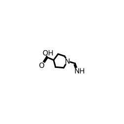 N=CN1CCC(C(=O)O)CC1